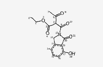 CCOC(=O)C(C(C)=O)C(=O)N1Cc2cccc(O)c2C1=O